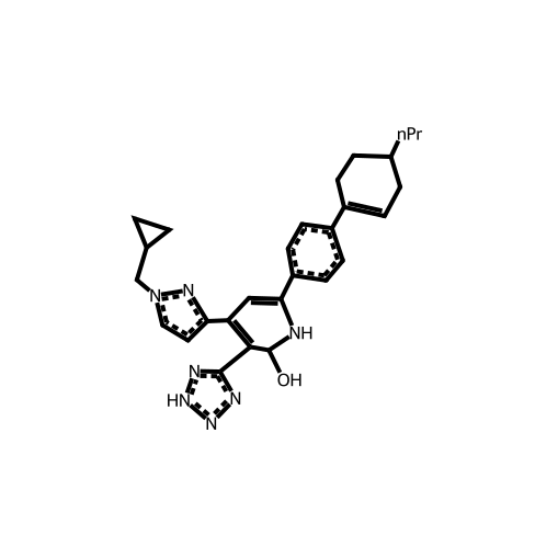 CCCC1CC=C(c2ccc(C3=CC(c4ccn(CC5CC5)n4)=C(c4nn[nH]n4)C(O)N3)cc2)CC1